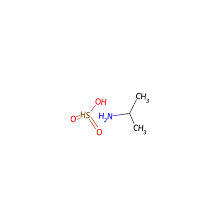 CC(C)N.O=[SH](=O)O